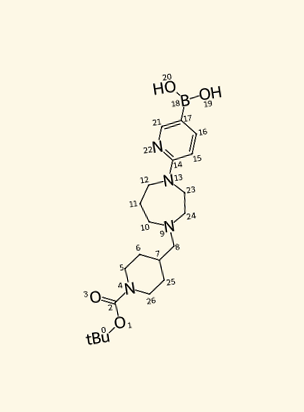 CC(C)(C)OC(=O)N1CCC(CN2CCCN(c3ccc(B(O)O)cn3)CC2)CC1